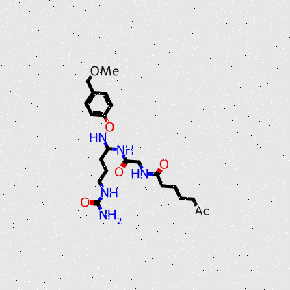 COCc1ccc(ONC(CCCNC(N)=O)NC(=O)CNC(=O)CCCCC(C)=O)cc1